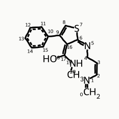 C=N/C=C\C/N=C1/SC=C(c2ccccc2)/C1=C(\O)NC